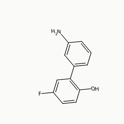 Nc1cccc(-c2cc(F)ccc2O)c1